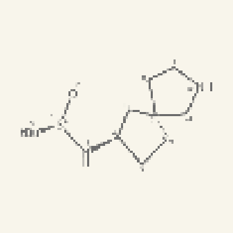 CC(C)(C)[S@@+]([O-])N[C@@H]1CC[C@@]2(CCNC2)C1